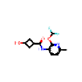 Cc1ccc(NC(=O)C2CC(O)C2)c(OC(F)F)n1